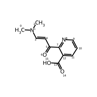 CN(C)C=CC(=O)c1ncccc1C(=O)O